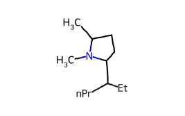 CCCC(CC)C1CCC(C)N1C